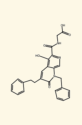 O=C(O)CNC(=O)c1ncc2c(cc(CCc3ccccc3)c(=O)n2Cc2ccccc2)c1O